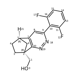 OC[C@]12CC[C@H](C1)c1cc(-c3c(F)cccc3F)nnc12